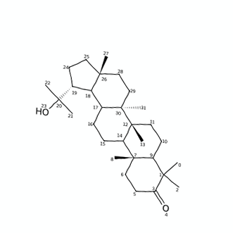 CC1(C)C(=O)CC[C@@]2(C)C1CC[C@]1(C)C2CCC2C3[C@H](C(C)(C)O)CC[C@]3(C)CC[C@]21C